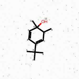 CC1C=C(C(C)(C)C)C=CC1(C)O